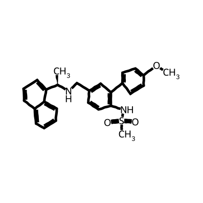 COc1ccc(-c2cc(CN[C@H](C)c3cccc4ccccc34)ccc2NS(C)(=O)=O)cc1